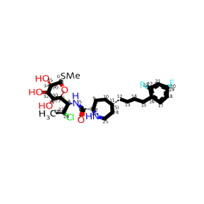 CSC1O[C@H]([C@H](NC(=O)[C@@H]2CC[C@H](CCCCc3ccc(F)cc3F)CCN2)[C@H](C)Cl)[C@@H](O)C(O)[C@H]1O